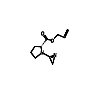 C=CCOC(=O)[C@H]1CCCN1C1=NC1